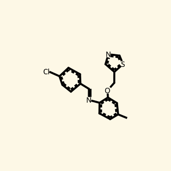 Cc1ccc(/N=C/c2ccc(Cl)cc2)c(OCc2cncs2)c1